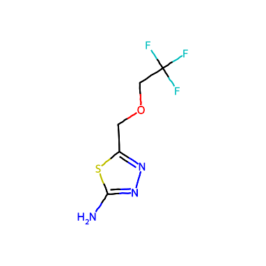 Nc1nnc(COCC(F)(F)F)s1